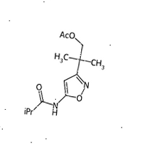 CC(=O)OCC(C)(C)c1cc(NC(=O)C(C)C)on1